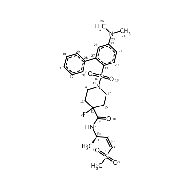 C[C@H](/C=C\S(C)(=O)=O)NC(=O)C1(F)CCN(S(=O)(=O)c2ccc(N(C)C)cc2-c2ccccc2)CC1